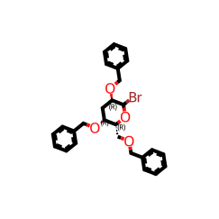 BrC1O[C@H](COCc2ccccc2)[C@H](OCc2ccccc2)C[C@H]1OCc1ccccc1